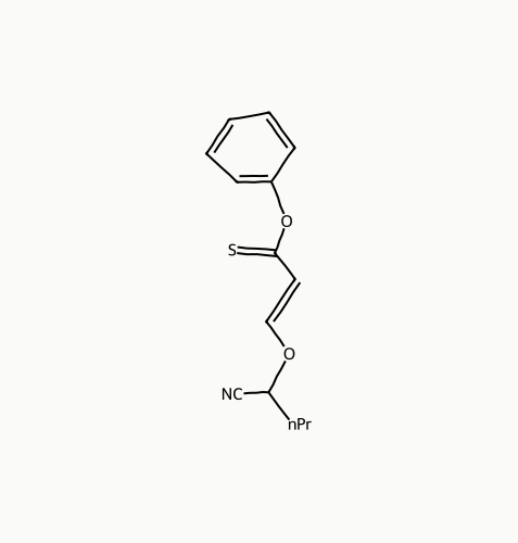 CCCC(C#N)OC=CC(=S)Oc1ccccc1